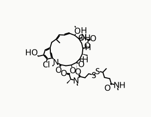 CNC(=O)CCC(C)SSCCC(=O)N(C)[C@@H](C)C(=O)O[C@H]1CC(=O)N(C)c2cc(cc(CO)c2Cl)C/C(C)=C/C=C/[C@@H](OC)[C@@]2(O)C[C@H](OC(=O)N2)[C@@H](C)[C@@H]2O[C@@]12C